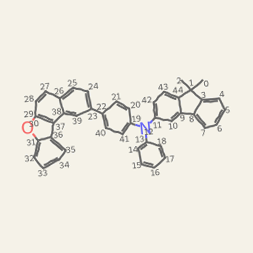 CC1(C)c2ccccc2-c2cc(N(c3ccccc3)c3ccc(-c4ccc5ccc6oc7ccccc7c6c5c4)cc3)ccc21